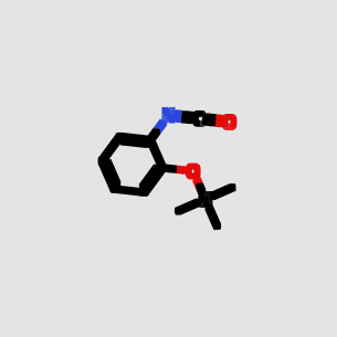 C[Si](C)(C)Oc1ccccc1N=C=O